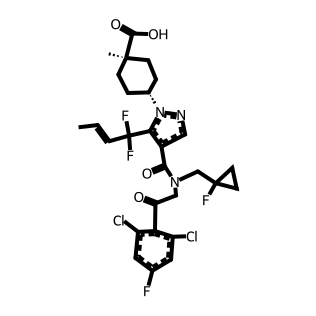 C/C=C/C(F)(F)c1c(C(=O)N(CC(=O)c2c(Cl)cc(F)cc2Cl)CC2(F)CC2)cnn1[C@H]1CC[C@](C)(C(=O)O)CC1